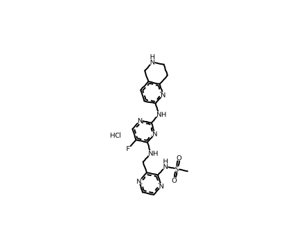 CS(=O)(=O)Nc1nccnc1CNc1nc(Nc2ccc3c(n2)CCNC3)ncc1F.Cl